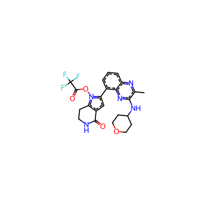 Cc1nc2cccc(-c3cc4c(n3OC(=O)C(F)(F)F)CCNC4=O)c2nc1NC1CCOCC1